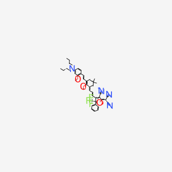 CCCCN(CCCC)c1ccc(C=CC2=C(OC)C(=CC=CC3=C(C#N)C(=C(C#N)C#N)OC3(c3ccccc3)C(F)(F)F)CC(C)(C)C2)c(OC)c1